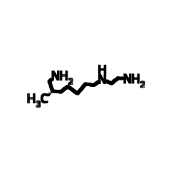 C[C@H](CN)CCCCCNCCN